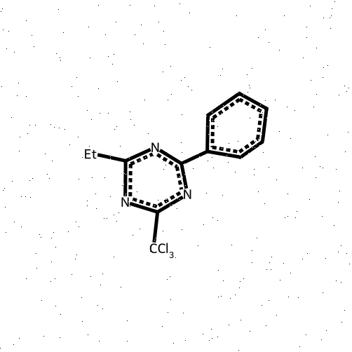 CCc1nc(-c2ccccc2)nc(C(Cl)(Cl)Cl)n1